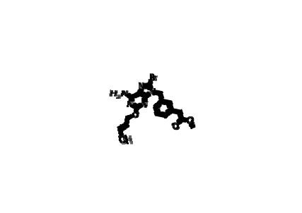 COC(=O)Cc1cccc(Cn2c(Br)nc3c(N)nc(OCCCO)nc32)c1